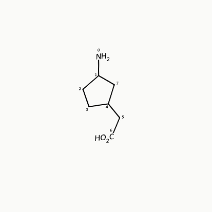 NC1CCC(CC(=O)O)C1